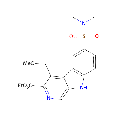 CCOC(=O)c1ncc2[nH]c3ccc(S(=O)(=O)N(C)C)cc3c2c1COC